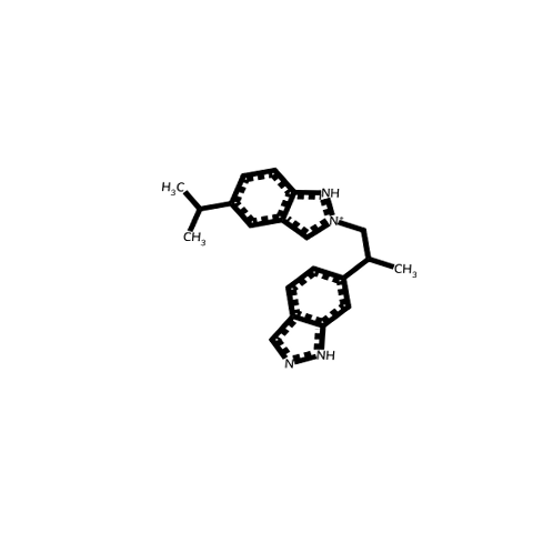 CC(C)c1ccc2[nH][n+](CC(C)c3ccc4cn[nH]c4c3)cc2c1